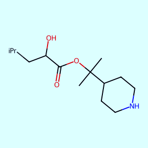 CC(C)CC(O)C(=O)OC(C)(C)C1CCNCC1